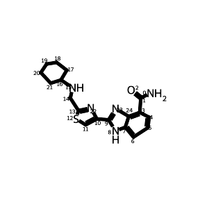 NC(=O)c1cccc2[nH]c(-c3csc(CNC4CCCCC4)n3)nc12